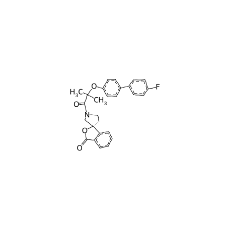 CC(C)(Oc1ccc(-c2ccc(F)cc2)cc1)C(=O)N1CC[C@@]2(C1)OC(=O)c1ccccc12